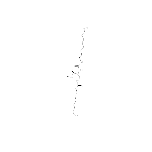 CCCCCCCCCCCCCCCCCCNC(=O)NC(CNC(=O)NCCCCCCCCCCCCCCCC)C(=O)NCC